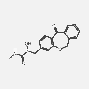 CNC(=O)N(O)Cc1ccc2c(c1)OCc1ccccc1C2=O